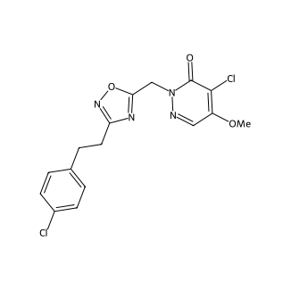 COc1cnn(Cc2nc(CCc3ccc(Cl)cc3)no2)c(=O)c1Cl